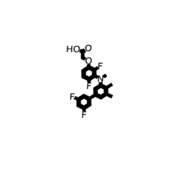 Cc1cc(-c2cc(F)cc(F)c2)cc(N(C)c2c(F)ccc(OCC(=O)O)c2F)c1C